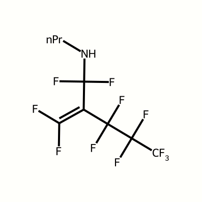 CCCNC(F)(F)C(=C(F)F)C(F)(F)C(F)(F)C(F)(F)F